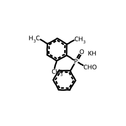 Cc1cc(C)c(P(=O)(C=O)c2ccccc2)c(C)c1.[KH]